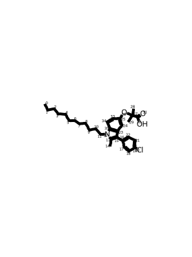 CCCCCCCCCCCCn1c(C)c(-c2ccc(Cl)cc2)c2cc(OC(C)(C)C(=O)O)ccc21